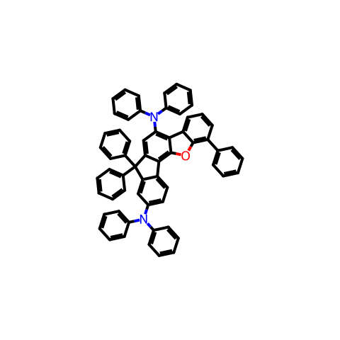 c1ccc(-c2cccc3c2oc2c4c(cc(N(c5ccccc5)c5ccccc5)c23)C(c2ccccc2)(c2ccccc2)c2cc(N(c3ccccc3)c3ccccc3)ccc2-4)cc1